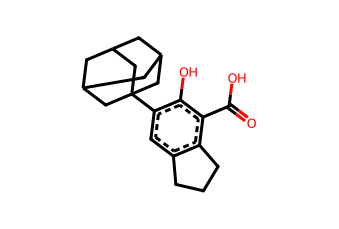 O=C(O)c1c(O)c(C23CC4CC(CC(C4)C2)C3)cc2c1CCC2